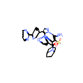 CS(=O)(=O)c1c(C2CC3CCC(C2)N3C(=O)c2cn[nH]n2)nc2c(-c3ccc(-c4ncccn4)nc3)cnn2c1N